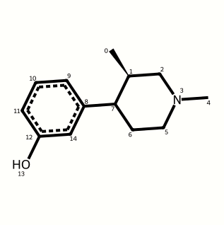 C[C@H]1CN(C)CCC1c1cccc(O)c1